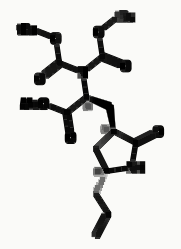 C=CC[C@@H]1C[C@@H](C[C@@H](C(=O)OC)N(C(=O)OC(C)(C)C)C(=O)OC(C)(C)C)C(=O)N1